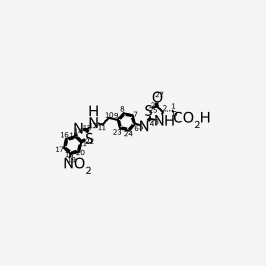 O=C(O)C[C@@H]1N/C(=N/c2ccc(CCNc3nc4ccc([N+](=O)[O-])cc4s3)cc2)SC1=O